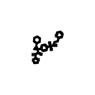 O=C(Nc1nccs1)C1(c2ccc(S(=O)(=O)NCCc3ccccn3)cc2)CC1C1CCCCC1